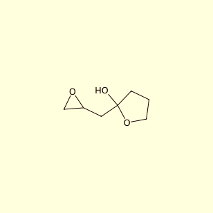 OC1(CC2CO2)CCCO1